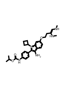 CN/C=C(/CCOc1ccc2c(N)c(-c3ccc(NC(=O)OC(C)C)cc3)n(C3CCC3)c2c1)NC